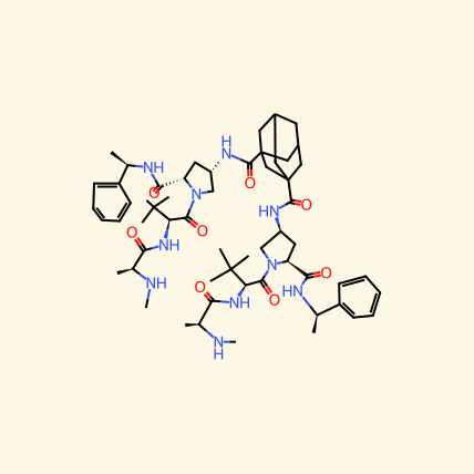 CN[C@@H](C)C(=O)N[C@H](C(=O)N1C[C@@H](NC(=O)C23CC4CC(C2)CC(C(=O)N[C@H]2C[C@@H](C(=O)N[C@H](C)c5ccccc5)N(C(=O)[C@@H](NC(=O)[C@H](C)NC)C(C)(C)C)C2)(C4)C3)C[C@H]1C(=O)N[C@H](C)c1ccccc1)C(C)(C)C